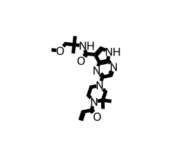 C=CC(=O)N1CCN(c2cnc3[nH]cc(C(=O)NC(C)(C)COC)c3n2)CC1(C)C